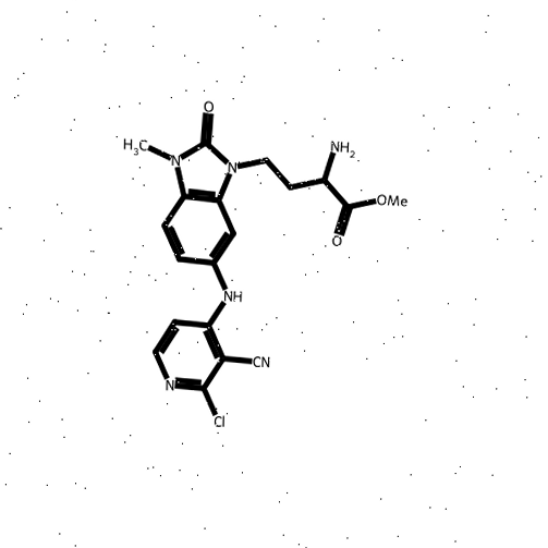 COC(=O)C(N)CCn1c(=O)n(C)c2ccc(Nc3ccnc(Cl)c3C#N)cc21